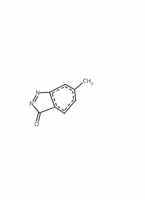 Cc1ccc2c(c1)N=NC2=O